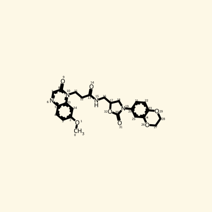 COc1ccc2ncc(=O)n(CCC(=O)NCC3CN(c4ccc5c(c4)OCCO5)C(=O)O3)c2c1